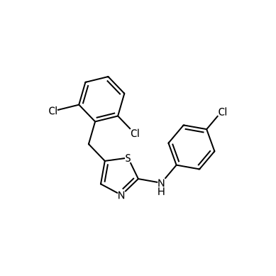 Clc1ccc(Nc2ncc(Cc3c(Cl)cccc3Cl)s2)cc1